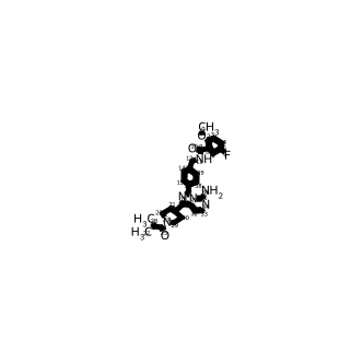 COc1ccc(F)cc1C(=O)NCc1ccc(-c2nc(C3=CCN(C(=O)C(C)C)CC3)c3ccnc(N)n23)cc1